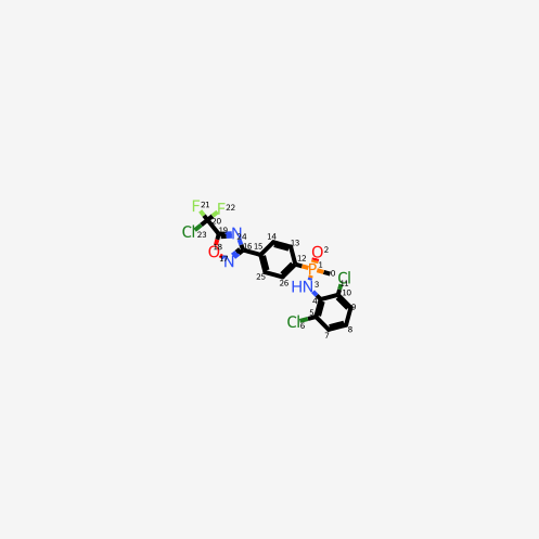 CP(=O)(Nc1c(Cl)cccc1Cl)c1ccc(-c2noc(C(F)(F)Cl)n2)cc1